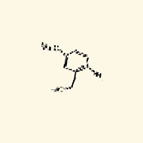 COc1ccc(N)c(CO)c1